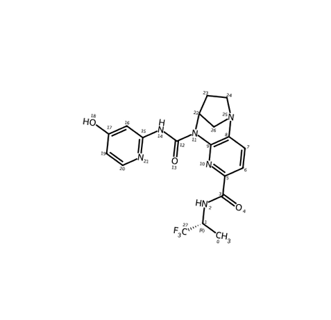 C[C@@H](NC(=O)c1ccc2c(n1)N(C(=O)Nc1cc(O)ccn1)C1CCN2C1)C(F)(F)F